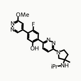 COc1cc(-c2cc(O)c(-c3ccc(N4CCC(C)(NC(C)C)C4)nn3)cc2F)cnn1